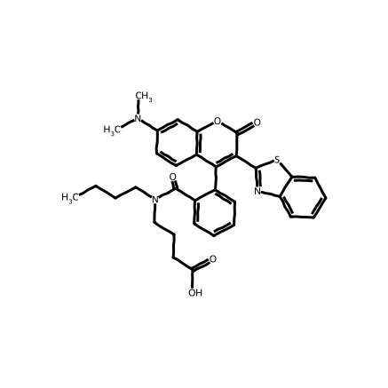 CCCCN(CCCC(=O)O)C(=O)c1ccccc1-c1c(-c2nc3ccccc3s2)c(=O)oc2cc(N(C)C)ccc12